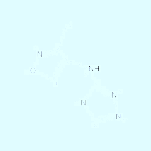 Cc1nocc1NC1=NN=C[N]1